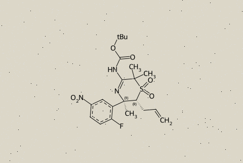 C=CC[C@@H]1[C@@](C)(c2cc([N+](=O)[O-])ccc2F)N=C(NC(=O)OC(C)(C)C)C(C)(C)S1(=O)=O